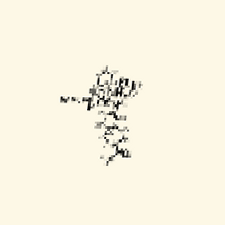 CCOC(CN(C(=O)NC1(OCC(=O)OC)CCCCC1)c1ccc2c(c1)CCN(C(=O)C(F)(F)F)CC2)OCC